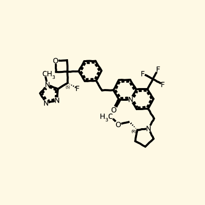 COC[C@H]1CCCN1Cc1cc(C(F)(F)F)c2ccc(Cc3cccc(C4([C@H](F)c5nncn5C)COC4)c3)c(=O)n2c1